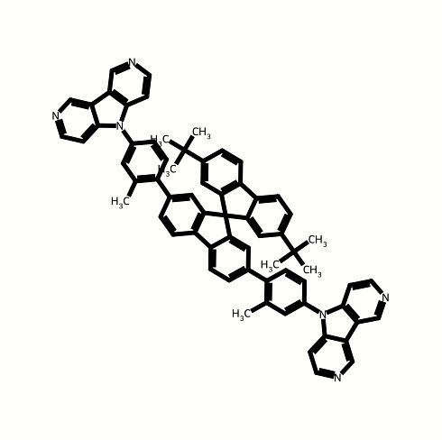 Cc1cc(-n2c3ccncc3c3cnccc32)ccc1-c1ccc2c(c1)C1(c3cc(-c4ccc(-n5c6ccncc6c6cnccc65)cc4C)ccc3-2)c2cc(C(C)(C)C)ccc2-c2ccc(C(C)(C)C)cc21